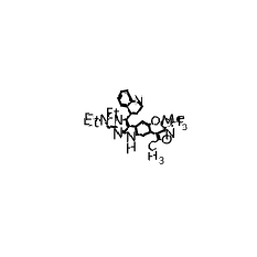 CCN(CC)Cc1nc(-c2ccnc3ccccc23)c2c(n1)[nH]c1cc(-c3c(C)noc3C)c(OC)cc12